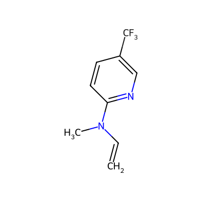 C=CN(C)c1ccc(C(F)(F)F)cn1